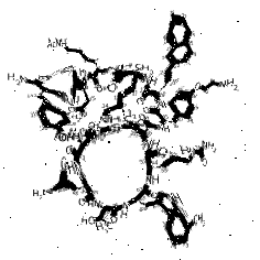 CC(=O)NCCCC[C@H](NC(=O)[C@](C)(CCCCN)NC(=O)[C@H](CCc1ccc2ccccc2c1)NC(=O)[C@H](Cc1ccc(OCCN)cc1)NC(=O)[C@H]1NC(=O)[C@H](CCCNC(N)=O)NC(=O)[C@H](Cc2c[nH]c3c(C)cccc23)NC(=O)[C@H]([C@@H](C)O)NC(=O)[C@H](CC(N)=O)NC(=O)[C@@H](NC(C)=O)C(C)(C)SSC1(C)C)C(=O)N[C@@H](CC(N)=O)C(=O)N[C@H](Cc1ccc(O)cc1)C(N)=O